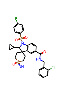 N=S1(=O)CCC2(CC1)c1cc(C(=O)NCc3ccccc3Cl)ccc1N(S(=O)(=O)c1ccc(F)cc1)C2C1CC1